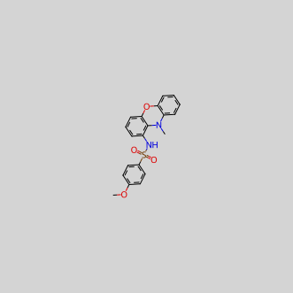 COc1ccc(S(=O)(=O)Nc2cccc3c2N(C)c2ccccc2O3)cc1